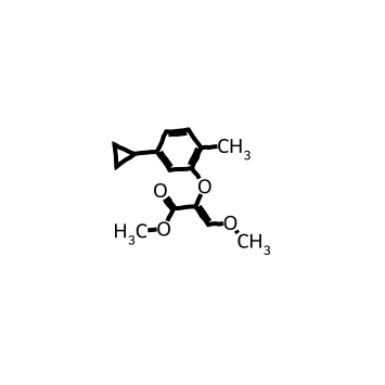 CO/C=C(\Oc1cc(C2CC2)ccc1C)C(=O)OC